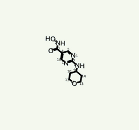 O=C(NO)c1cnc(NC2CCOCC2)nc1